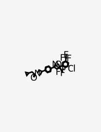 O=C(CC1CC1)N1CC(c2ccc(C3=NOC(c4cc(Cl)cc(C(F)(F)F)c4)(C(F)(F)F)C3)cc2)C1